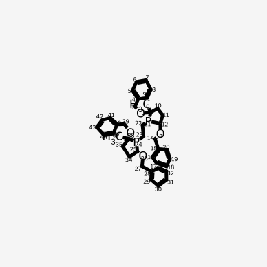 CC1(OCc2ccccc2)CCC(OCc2ccccc2)P1CCP1C(OCc2ccccc2)CCC1(C)OCc1ccccc1